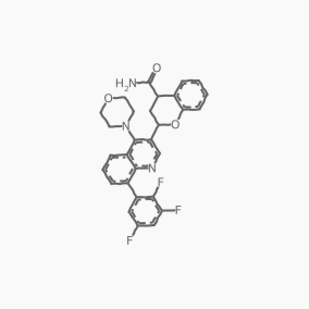 NC(=O)C1CC(c2cnc3c(-c4cc(F)cc(F)c4F)cccc3c2N2CCOCC2)Oc2ccccc21